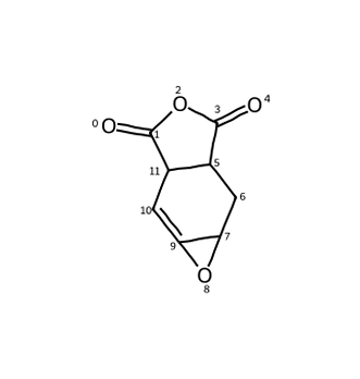 O=C1OC(=O)C2CC3OC3=CC12